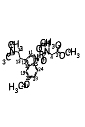 COC(=O)CNP(=O)(OC)n1cc(CCN(C)C)c2cc(OC)ccc21